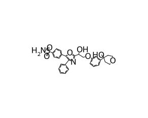 NS(=O)(=O)c1ccc(-c2oc(C(O)COc3cccc(C4(O)CCOCC4)c3)nc2-c2ccccc2)cc1